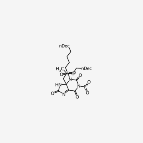 CCCCCCCCCCCCCCS(=O)(=O)N1C(=O)N(P(=O)=O)C(=O)C2=NC(=O)NC21CC(C)OCCCCCCCCCCC